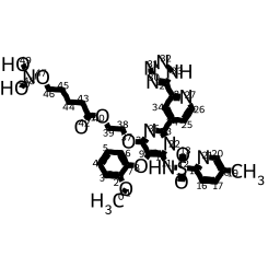 COc1ccccc1Oc1c(NS(=O)(=O)c2ccc(C)cn2)nc(-c2ccnc(-c3nnn[nH]3)c2)nc1OCCOC(=O)CCCCON(O)O